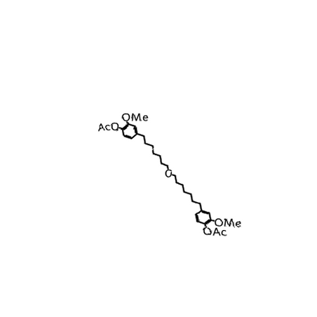 COc1cc(CCCCCCCOCCCCCCCc2ccc(OC(C)=O)c(OC)c2)ccc1OC(C)=O